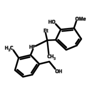 CCC(C)(Pc1c(C)cccc1CO)c1cccc(OC)c1O